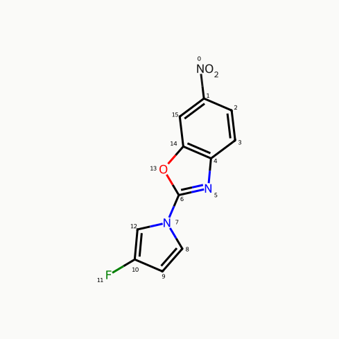 O=[N+]([O-])c1ccc2nc(-n3ccc(F)c3)oc2c1